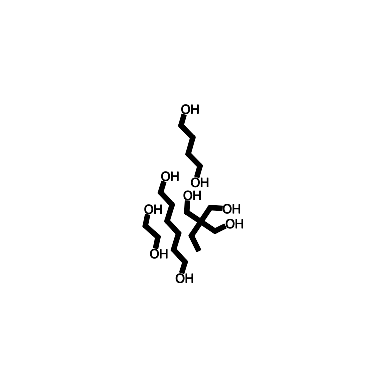 CCC(CO)(CO)CO.OCCCCCCO.OCCCCO.OCCO